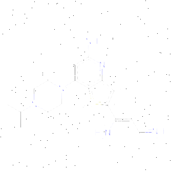 CC(C)N1CCN(c2cc(N)nc3cc(/C(N)=C/C=N)sc23)CC1